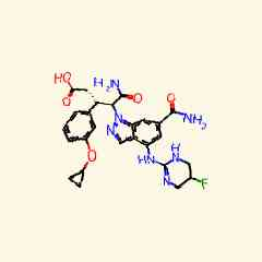 NC(=O)c1cc(NC2=NCC(F)CN2)c2cnn(C(C(N)=O)[C@@H](CC(=O)O)c3cccc(OC4CC4)c3)c2c1